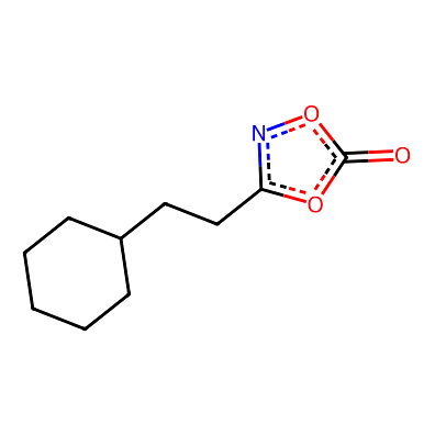 O=c1onc(CCC2CCCCC2)o1